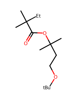 CCC(C)(C)C(=O)OC(C)(C)CCOC(C)(C)C